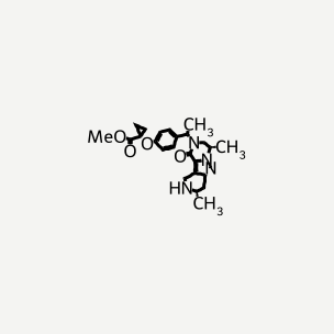 COC(=O)C1(Oc2ccc(C(C)N3C[C@@H](C)n4nc5c(c4C3=O)CN[C@H](C)C5)cc2)CC1